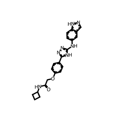 O=C(COc1ccc(-c2nnc(Nc3ccc4[nH]ncc4c3)[nH]2)cc1)NC1CCC1